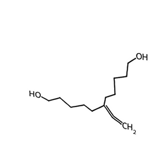 C=C=C(CCCCCO)CCCCCO